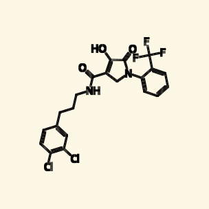 O=C(NCCCc1ccc(Cl)c(Cl)c1)C1=C(O)C(=O)N(c2ccccc2C(F)(F)F)C1